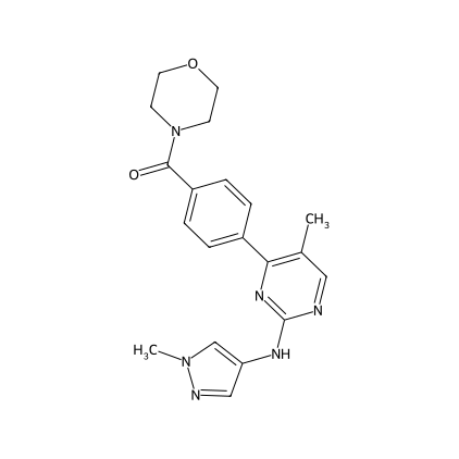 Cc1cnc(Nc2cnn(C)c2)nc1-c1ccc(C(=O)N2CCOCC2)cc1